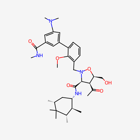 CNC(=O)c1cc(-c2cccc(CN3O[C@@H](CO)[C@@H](C(C)=O)[C@H]3C(=O)N[C@H]3C[C@@H](C)C(C)(C)[C@@H](C)[C@@H]3C)c2OC)cc(N(C)C)c1